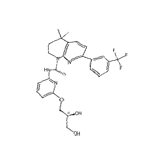 CC1(C)CCN(C(=O)Nc2cccc(OC[C@@H](O)CO)n2)c2nc(-c3cccc(C(F)(F)F)c3)ccc21